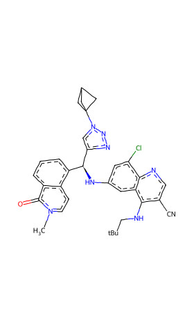 Cn1ccc2c([C@H](Nc3cc(Cl)c4ncc(C#N)c(NCC(C)(C)C)c4c3)c3cn(C45CC(C4)C5)nn3)cccc2c1=O